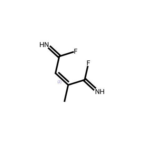 C/C(=C/C(=N)F)C(=N)F